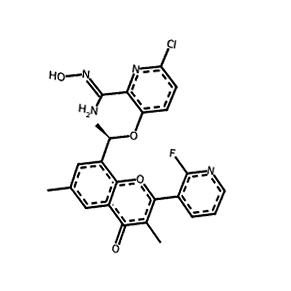 Cc1cc([C@@H](C)Oc2ccc(Cl)nc2C(N)=NO)c2oc(-c3cccnc3F)c(C)c(=O)c2c1